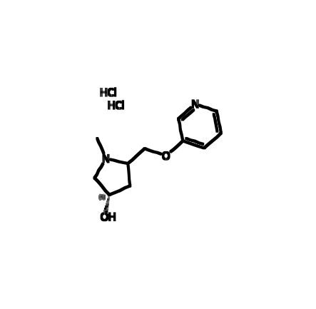 CN1C[C@@H](O)CC1COc1cccnc1.Cl.Cl